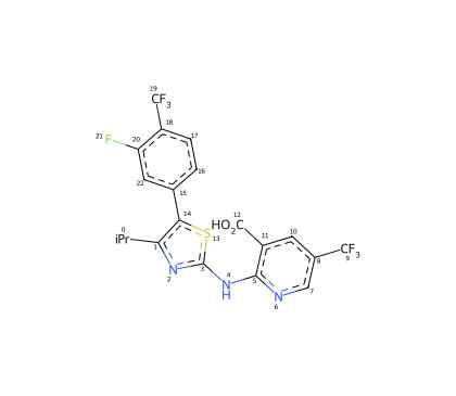 CC(C)c1nc(Nc2ncc(C(F)(F)F)cc2C(=O)O)sc1-c1ccc(C(F)(F)F)c(F)c1